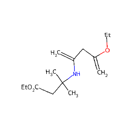 C=C(CC(=C)OCC)NC(C)(C)CC(=O)OCC